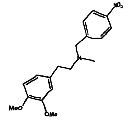 COc1ccc(CCN(C)Cc2ccc([N+](=O)[O-])cc2)cc1OC